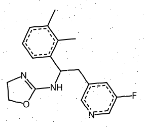 Cc1cccc(C(Cc2cncc(F)c2)NC2=NCCO2)c1C